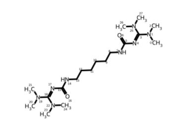 CN(C)C(=NC(=O)NCCCCCCNC(=O)N=C(N(C)C)N(C)C)N(C)C